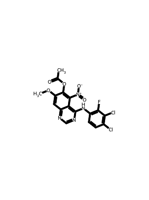 COc1cc2ncnc(Nc3ccc(Cl)c(Cl)c3F)c2c([N+](=O)[O-])c1OC(C)=O